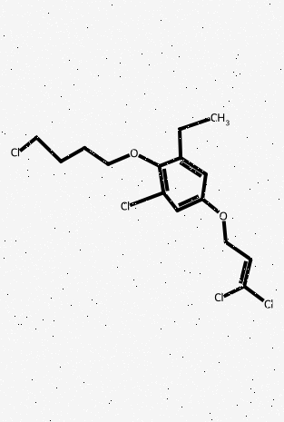 CCc1cc(OCC=C(Cl)Cl)cc(Cl)c1OCCCCCl